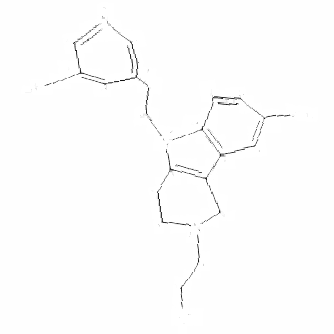 OCCN1CCc2c(c3cc(F)ccc3n2CCc2cncc(F)c2)C1